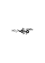 CCC(C)Nc1ccc(F)c(COc2c(Br)cc(CCC(=O)O)cc2Br)c1